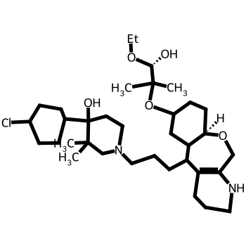 CCO[C@H](O)C(C)(C)OC1CC[C@H]2OCC3=C(CCCN3)C(CCCN3CCC(O)(C4CCC(Cl)CC4)C(C)(C)C3)C2C1